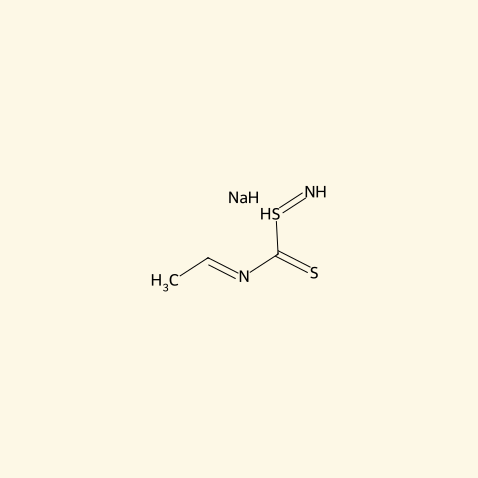 CC=NC(=S)[SH]=N.[NaH]